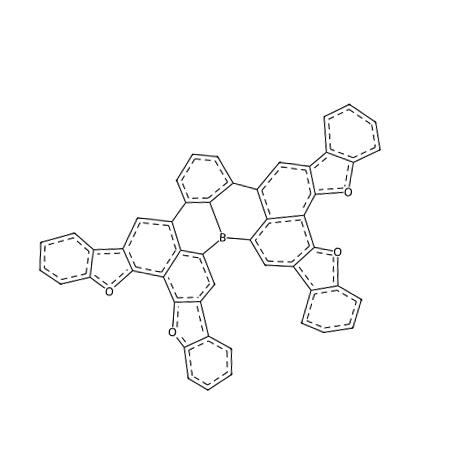 c1cc2c3c(c1)-c1cc4c5ccccc5oc4c4c1c(cc1c5ccccc5oc14)B3c1cc3c4ccccc4oc3c3c1c-2cc1c2ccccc2oc13